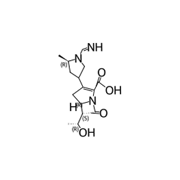 C[C@@H]1CC(C2=C(C(=O)O)N3C(=O)[C@H]([C@@H](C)O)[C@H]3C2)CN1C=N